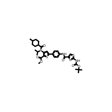 COC(=O)c1sc(-c2ccc(NC(=O)c3csc(NC(=O)OC(C)(C)C)n3)cc2)cc1N(C(=O)C1CCC(C)CC1)C(C)C